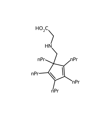 CCCC1=C(CCC)C(CCC)(CNCC(=O)O)C(CCC)=C1CCC